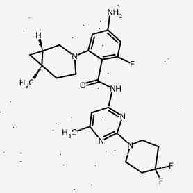 Cc1cc(NC(=O)c2c(F)cc(N)cc2N2CC[C@]3(C)C[C@@H]3C2)nc(N2CCC(F)(F)CC2)n1